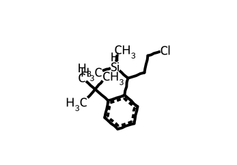 C[SiH](C)C(CCCl)c1ccccc1C(C)(C)C